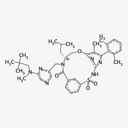 Cc1cccc(C)c1-c1nc2nc(c1C)OC[C@@H](CC(C)C)N(Cc1cncc(N(C)CC(C)(C)C)n1)C(=O)c1cccc(c1)S(=O)(=O)N2